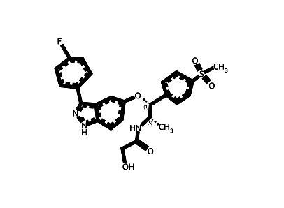 C[C@H](NC(=O)CO)[C@H](Oc1ccc2[nH]nc(-c3ccc(F)cc3)c2c1)c1ccc(S(C)(=O)=O)cc1